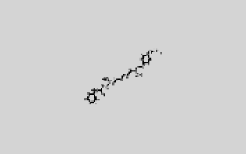 COc1ccc(CCC(O)/C=C/C=C/C=C/C(O)CCC(=O)Nc2ccccc2)cc1